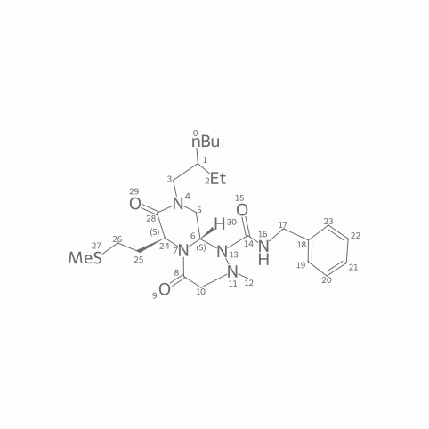 CCCCC(CC)CN1C[C@H]2N(C(=O)CN(C)N2C(=O)NCc2ccccc2)[C@@H](CCSC)C1=O